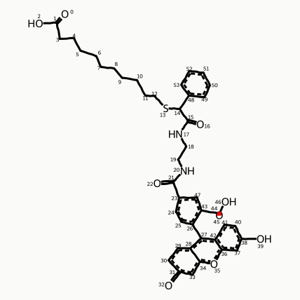 O=C(O)CCCCCCCCCCSC(C(=O)NCCNC(=O)c1ccc(-c2c3ccc(=O)cc-3oc3cc(O)ccc23)c(C(=O)O)c1)c1ccccc1